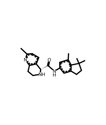 Cc1ccc2c(n1)CCN[C@H]2C(=O)Nc1cc(C)c2c(c1)CCC2(C)C